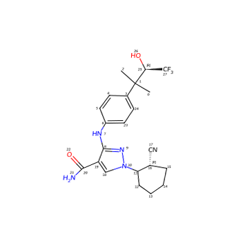 CC(C)(c1ccc(Nc2nn(C3CCCC[C@H]3C#N)cc2C(N)=O)cc1)[C@@H](O)C(F)(F)F